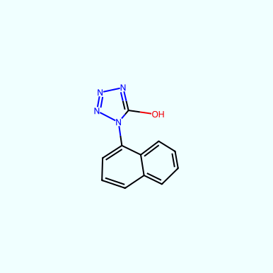 Oc1nnnn1-c1cccc2ccccc12